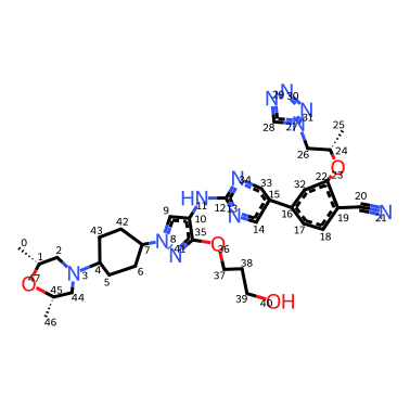 C[C@@H]1CN(C2CCC(n3cc(Nc4ncc(-c5ccc(C#N)c(O[C@@H](C)Cn6cnnn6)c5)cn4)c(OCCCO)n3)CC2)C[C@H](C)O1